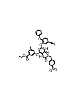 CCOC(=O)c1cc(C)cc(OC2=C3NC(=O)C(CC4=CCC(=S(=O)=O)C=C4)N=C3NC(Oc3cc(C#N)ccc3Oc3ccccc3)=N2)c1